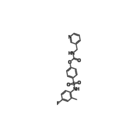 Cc1cc(F)ccc1NS(=O)(=O)c1ccc(OC(=O)NCc2cccnc2)cc1